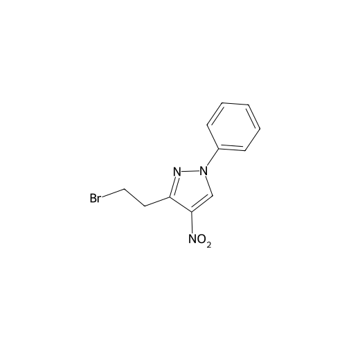 O=[N+]([O-])c1cn(-c2ccccc2)nc1CCBr